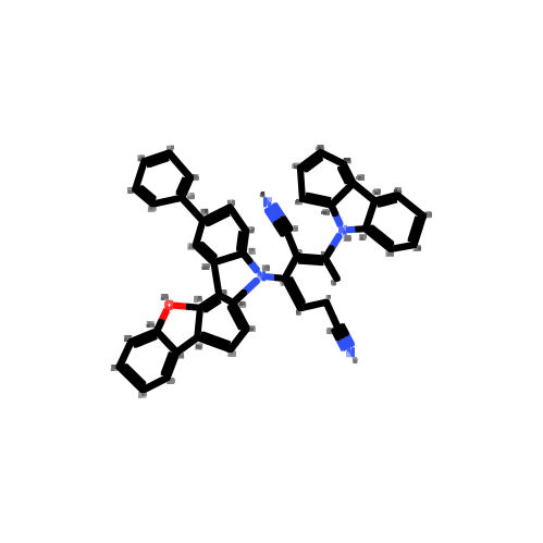 C/C(=C(C#N)\C(=C/CC#N)n1c2ccc(-c3ccccc3)cc2c2c3oc4ccccc4c3ccc21)n1c2ccccc2c2ccccc21